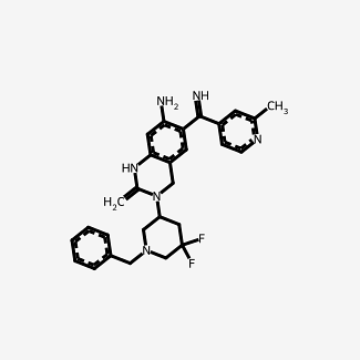 C=C1Nc2cc(N)c(C(=N)c3ccnc(C)c3)cc2CN1C1CN(Cc2ccccc2)CC(F)(F)C1